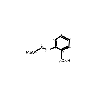 COSOc1ccccc1C(=O)O